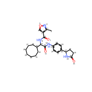 Cc1nocc1C(=O)NC(C(=O)Nc1ccc(C2CCC(=O)N2)cc1)C1CCCCCCC1